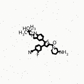 CC(C)(O)Cn1cc2cc(-c3sc(C(=O)N4CCCC(N)C4)cc3-c3ccc(C#N)c(F)c3)ccc2n1